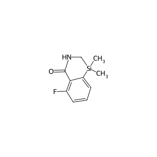 C[Si]1(C)CNC(=O)c2c(F)cccc21